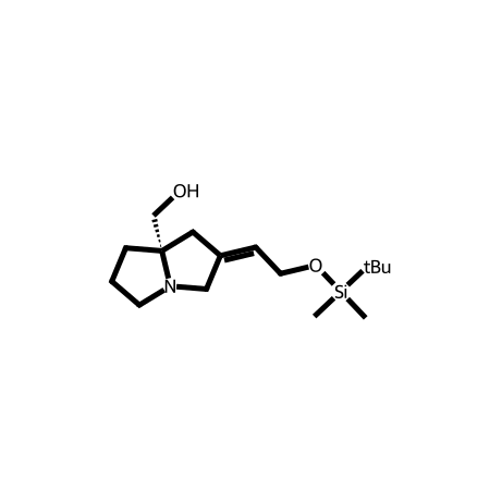 CC(C)(C)[Si](C)(C)OC/C=C1\CN2CCC[C@@]2(CO)C1